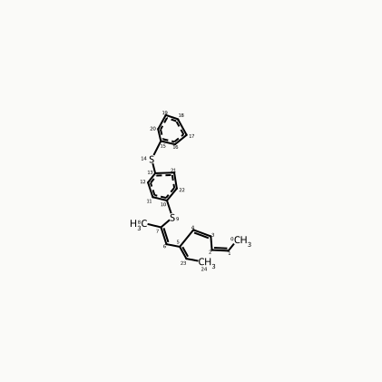 C\C=C/C=C\C(\C=C(\C)Sc1ccc(Sc2ccccc2)cc1)=C/C